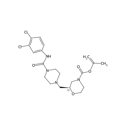 C=C(C)OC(=O)N1CCO[C@@H](CN2CCN(C(=O)Nc3ccc(Cl)c(Cl)c3)CC2)C1